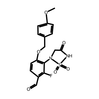 COc1ccc(COc2ccc(C=O)c(F)c2N2CC(=O)NS2(=O)=O)cc1